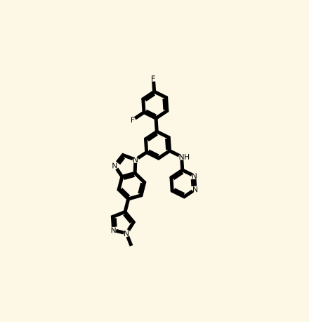 Cn1cc(-c2ccc3c(c2)ncn3-c2cc(Nc3cccnn3)cc(-c3ccc(F)cc3F)c2)cn1